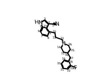 N#Cc1c[nH]c2cccc(CCCN3CCC(Cc4ccccc4F)CC3)c12